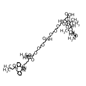 CC(=O)NC(CCCCn1nnc2c1-c1ccccc1N(C(=O)CC(C)C)Cc1ccccc1-2)C(=O)NCCOCCOCCOCCC(=O)NCCOCCOCCOCCC(=O)NC(CCC(=O)O)C(=O)NC(C(=O)NC(CCCNC(N)=O)C(=O)C(C)C)C(C)C